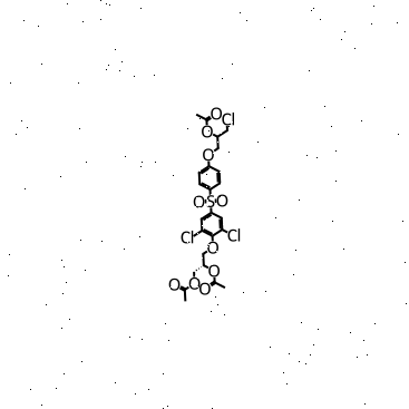 CC(=O)OC[C@H](COc1c(Cl)cc(S(=O)(=O)c2ccc(OCC(CCl)OC(C)=O)cc2)cc1Cl)OC(C)=O